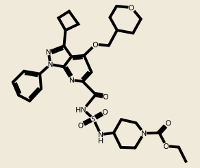 CCOC(=O)N1CCC(NS(=O)(=O)NC(=O)c2cc(OCC3CCOCC3)c3c(C4CCC4)nn(-c4ccccc4)c3n2)CC1